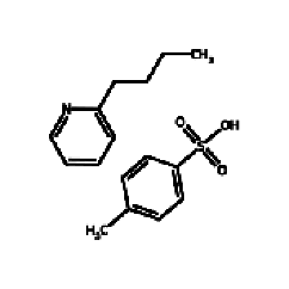 CCCCc1ccccn1.Cc1ccc(S(=O)(=O)O)cc1